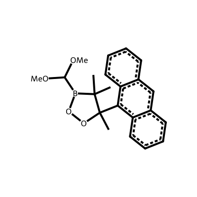 COC(OC)B1OOC(C)(c2c3ccccc3cc3ccccc23)C1(C)C